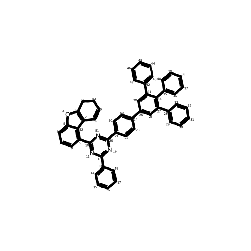 C1=Cc2c(oc3cccc(-c4nc(-c5ccccc5)nc(-c5ccc(-c6cc(-c7ccccc7)c(-c7ccccc7)c(-c7ccccc7)c6)cc5)n4)c23)CC1